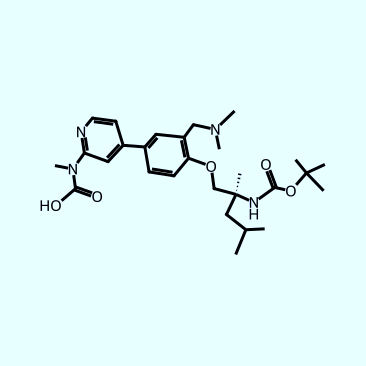 CC(C)C[C@@](C)(COc1ccc(-c2ccnc(N(C)C(=O)O)c2)cc1CN(C)C)NC(=O)OC(C)(C)C